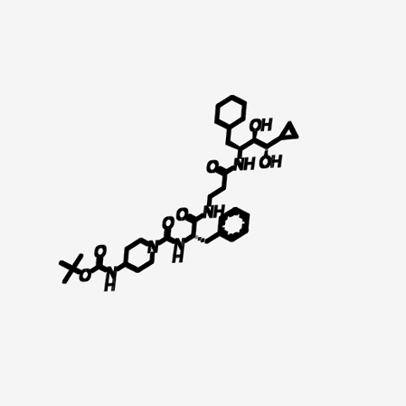 CC(C)(C)OC(=O)NC1CCN(C(=O)N[C@@H](Cc2ccccc2)C(=O)NCCC(=O)N[C@@H](CC2CCCCC2)[C@@H](O)[C@@H](O)C2CC2)CC1